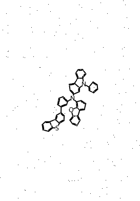 c1ccc(-n2c3ccccc3c3ccc(N(c4cccc(-c5ccc6sc7ccccc7c6c5)c4)c4cccc5c4oc4ccccc45)cc32)cc1